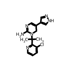 CC(C)(c1ncccc1Cl)N1CC(c2cn[nH]c2)=CN=C1N